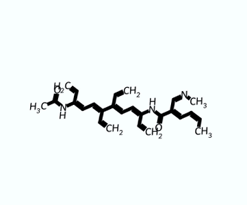 C=C\C(=C/C=C(C=C)/C(C=C)=C/C=C(\C=C)NC(=O)C(/C=N\C)=C/C=C\C)NC(C)=O